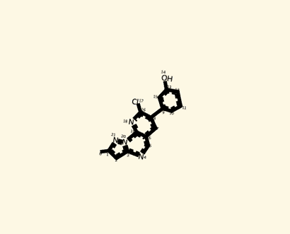 Cc1cc2ncc3cc(-c4cccc(O)c4)c(Cl)nc3n2n1